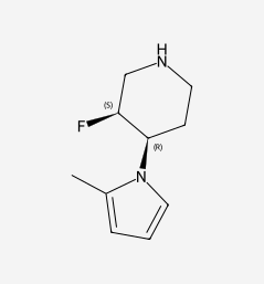 Cc1cccn1[C@@H]1CCNC[C@@H]1F